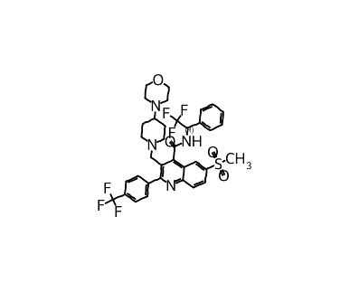 CS(=O)(=O)c1ccc2nc(-c3ccc(C(F)(F)F)cc3)c(CN3CCC(N4CCOCC4)CC3)c(C(=O)N[C@H](c3ccccc3)C(F)(F)F)c2c1